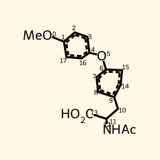 COc1ccc(Oc2ccc(CC(NC(C)=O)C(=O)O)cc2)cc1